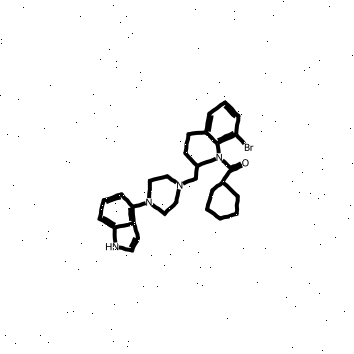 O=C(C1CCCCC1)N1c2c(Br)cccc2CCC1CN1CCN(c2cccc3[nH]ccc23)CC1